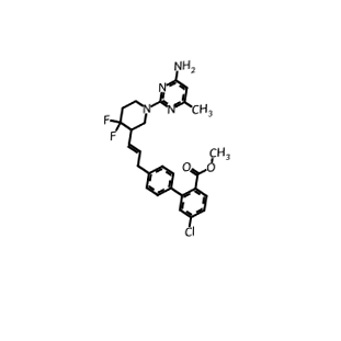 COC(=O)c1ccc(Cl)cc1-c1ccc(CC=CC2CN(c3nc(C)cc(N)n3)CCC2(F)F)cc1